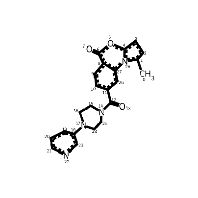 Cc1ccc2oc(=O)c3ccc(C(=O)N4CCN(c5cccnc5)CC4)cc3n12